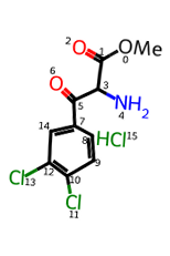 COC(=O)C(N)C(=O)c1ccc(Cl)c(Cl)c1.Cl